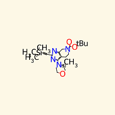 C[C@H]1COCCN1c1nc(C#C[Si](C)(C)C)nc2c1CCN(C(=O)OC(C)(C)C)C2